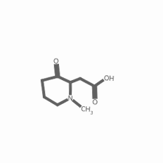 CN1CCCC(=O)C1CC(=O)O